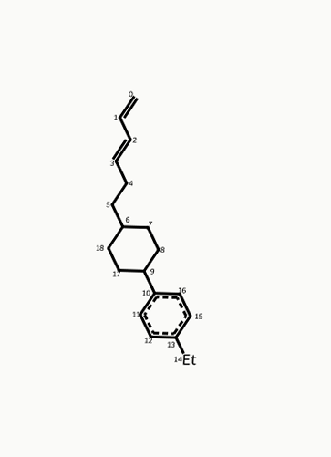 C=C/C=C/CCC1CCC(c2ccc(CC)cc2)CC1